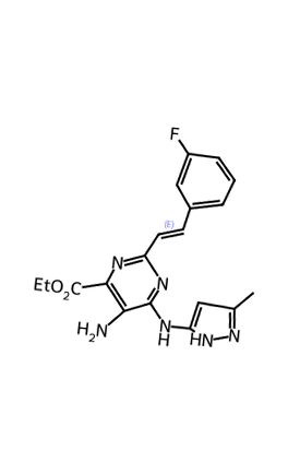 CCOC(=O)c1nc(/C=C/c2cccc(F)c2)nc(Nc2cc(C)n[nH]2)c1N